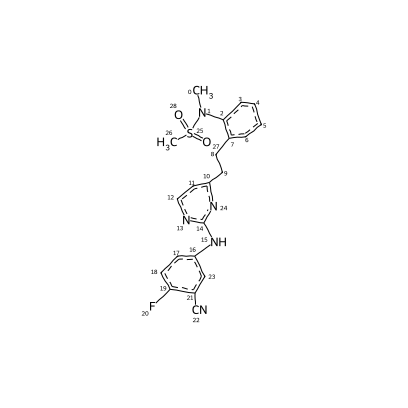 CN(c1ccccc1CCc1ccnc(Nc2ccc(F)c(C#N)c2)n1)S(C)(=O)=O